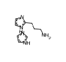 NCCCc1ncc[nH]1.c1c[nH]cn1